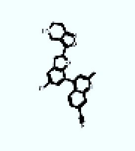 Cc1cc(-c2cc(Cl)cc3c2OC(c2onc4c2CNCC4)C3)c2ccc(C#N)cc2n1